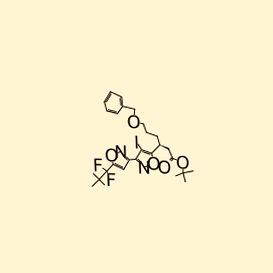 CC(C)(C)OC(=O)C[C@H](CCCOCc1ccccc1)c1onc(-c2cc(C(F)(F)C(C)(C)C)on2)c1I